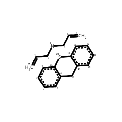 C=CC[N]CC=C.c1ccc2c(c1)Cc1ccccc1S2